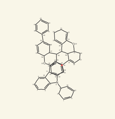 C1=CCC(N2c3ccccc3C3C=CC(C4=CCCC5OC6=CCCC=C6C(C6C7=C(C=CCC7)OC7C=CC(c8ccccc8)=CC76)C45)=CC32)C=C1